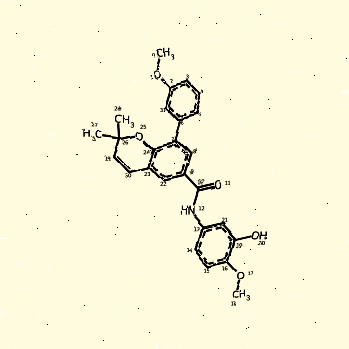 COc1cccc(-c2cc(C(=O)Nc3ccc(OC)c(O)c3)cc3c2OC(C)(C)C=C3)c1